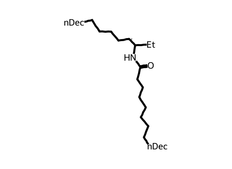 CCCCCCCCCCCCCC[CH]C(CC)NC(=O)CCCCCCCCCCCCCCCCC